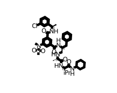 CC(C)[C@H](NC(=O)[C@H](C)NC[C@H](Cc1ccccc1)NC(=O)c1cc(C(=O)N[C@H](C)c2cccc(Cl)c2)cc(N(C)S(C)(=O)=O)c1)C(=O)NC1CCCCC1